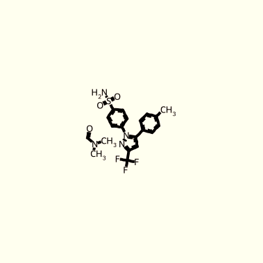 CN(C)C=O.Cc1ccc(-c2cc(C(F)(F)F)nn2-c2ccc(S(N)(=O)=O)cc2)cc1